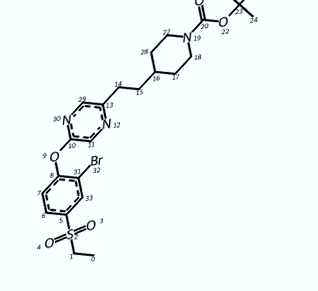 CCS(=O)(=O)c1ccc(Oc2cnc(CCC3CCN(C(=O)OC(C)(C)C)CC3)cn2)c(Br)c1